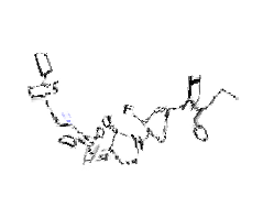 CCC(=O)Nc1ccc(N2CC[C@H](NS(=O)(=O)/C=C/c3ccc(Cl)s3)C2=O)c(F)c1